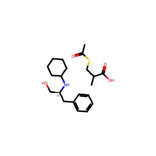 CC(=O)SCC(C)C(=O)O.OC[C@H](Cc1ccccc1)NC1CCCCC1